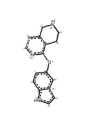 c1nc2c(c(Oc3ccc4[nH]ccc4c3)n1)CCNC2